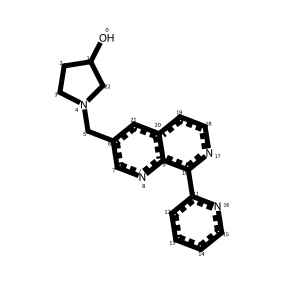 OC1CCN(Cc2cnc3c(-c4ccccn4)nccc3c2)C1